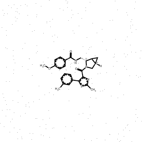 COc1ccc(C(=O)NC[C@@H]2C3C[C@@H]3CN2C(=O)c2nc(C)sc2-c2cccc(C)c2)cc1